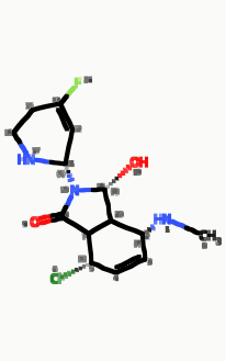 CN[C@@H]1C=C[C@H](Cl)C2C(=O)N([C@H]3C=C(F)CCN3)[C@H](O)C21